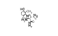 Cc1ccc(O)c(C)c1-n1nc(-c2nccs2)c(C(N)=O)c1N